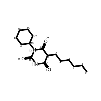 CCCCCCC1C(=O)NC(=O)N(C2CCCCC2)C1=O